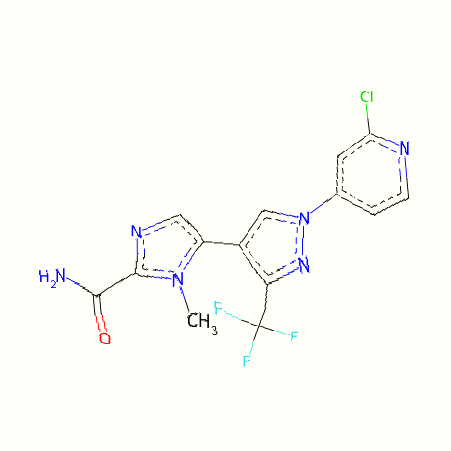 Cn1c(-c2cn(-c3ccnc(Cl)c3)nc2C(F)(F)F)cnc1C(N)=O